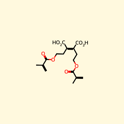 C=C(C)C(=O)OCC/C(C(=O)O)=C(\CCOC(=O)C(=C)C)C(=O)O